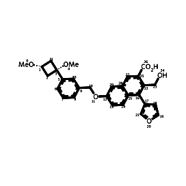 CO[C@H]1C[C@](OC)(c2cccc(COc3ccc4c(-c5ccoc5)c(CO)c(C(=O)O)cc4c3)c2)C1